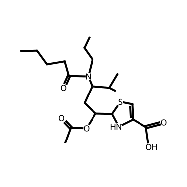 CCCCC(=O)N(CCC)C(CC(OC(C)=O)C1NC(C(=O)O)=CS1)C(C)C